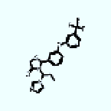 CCC(N1C(=O)CSC1c1cccc(Oc2cccc(C(F)(F)F)c2)c1)n1ccnc1